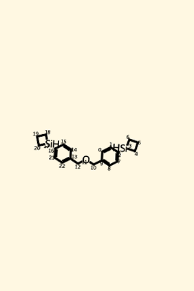 c1cc([SiH]2CCC2)ccc1COCc1ccc([SiH]2CCC2)cc1